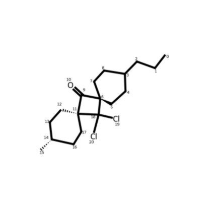 CCCC1CC[C@]2(CC1)C(=O)[C@@]1(CC[C@@H](C)CC1)C2(Cl)Cl